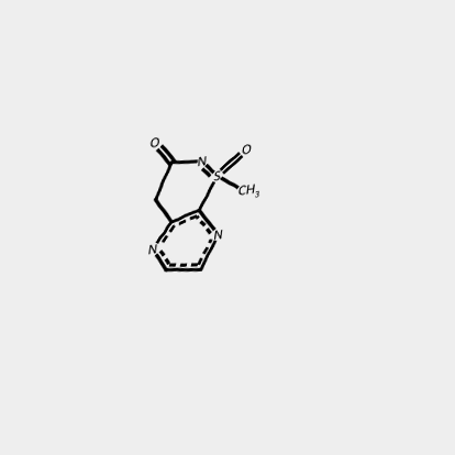 CS1(=O)=NC(=O)Cc2nccnc21